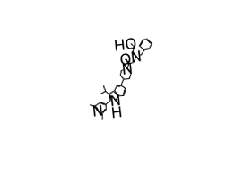 Cc1cc(-c2[nH]c3ccc(C4CCN(C(=O)CN(CCO)Cc5ccccc5)CC4)cc3c2C(C)C)cc(C)n1